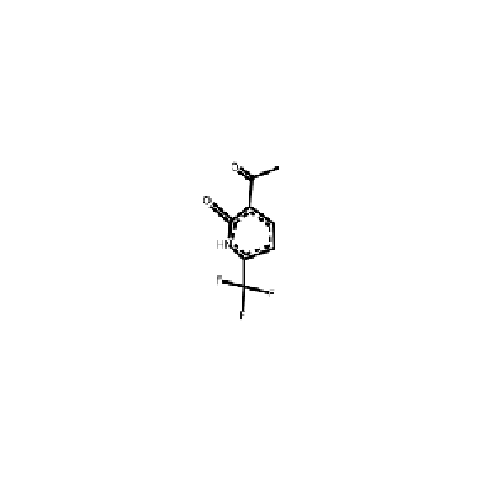 CC(=O)c1ccc(C(F)(F)F)[nH]c1=O